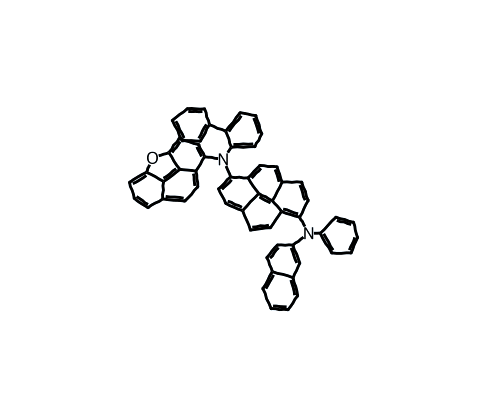 c1ccc(-c2ccccc2N(c2ccc3ccc4c(N(c5ccccc5)c5ccc6ccccc6c5)ccc5ccc2c3c54)c2ccc3oc4cccc5ccc2c3c54)cc1